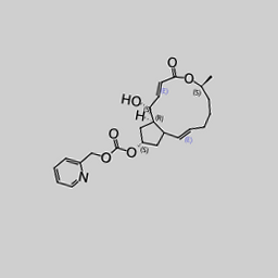 C[C@H]1CCC/C=C/C2C[C@H](OC(=O)OCc3ccccn3)C[C@H]2[C@H](O)/C=C/C(=O)O1